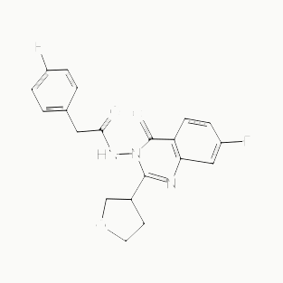 O=C(Cc1ccc(F)cc1)Nn1c(C2CCOC2)nc2cc(F)ccc2c1=O